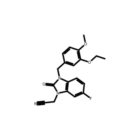 CCOc1cc(Cn2c(=O)n(CC#N)c3cc(F)ccc32)ccc1OC